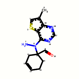 Cc1csc2c(N(N)C3(C=O)CC=CCC3)ncnc12